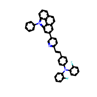 Fc1ccccc1N(c1ccc(/C=C/c2ccc(-c3cc4ccc5cccc6c5c4c(c3)n6-c3ccccc3)cn2)cc1)c1ccccc1F